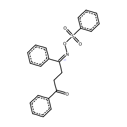 O=C(CC/C(=N/OS(=O)(=O)c1ccccc1)c1ccccc1)c1ccccc1